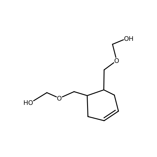 OCOCC1CC=CCC1COCO